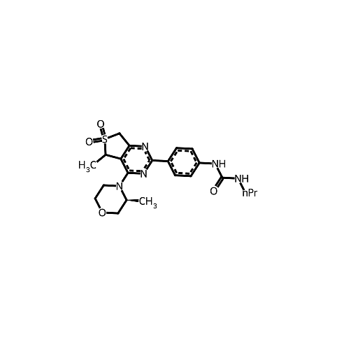 CCCNC(=O)Nc1ccc(-c2nc3c(c(N4CCOC[C@@H]4C)n2)C(C)S(=O)(=O)C3)cc1